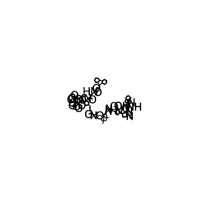 COC(=O)[C@H]1O[C@@H](Oc2ccc(C=CCC(=O)N(C)CCOC34CC5(C)CC(C)(CC(Cn6ncc(-c7ccc(-c8ccc9c(c8)N(C(=O)Nc8nc%10ccccc%10s8)CCN9C)nc7C(=O)O)c6C)(C5)C3)C4)cc2NC(=O)CCNC(=O)OCC2c3ccccc3-c3ccccc32)[C@H](OC(C)=O)[C@@H](OC(C)=O)[C@@H]1OC(C)=O